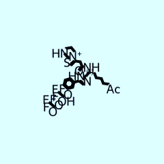 CC(=O)CCCCC[C@H](NC(=O)Cc1csc2[n+]1CCCN2)c1ncc(-c2ccccc2)[nH]1.O=C(O)C(F)(F)F.O=C([O-])C(F)(F)F